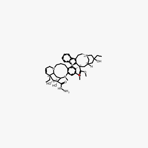 CCC1(O)C[C@H]2C[N@](CCc3c([nH]c4ccccc34)[C@@](C(=O)OC)(c3cc4c(cc3OC)N(C)C3CC5N(CC=C[C@@]5(CC)[C@@H](O)[C@]3(O)C(=O)NN)CCC4)C2)C1